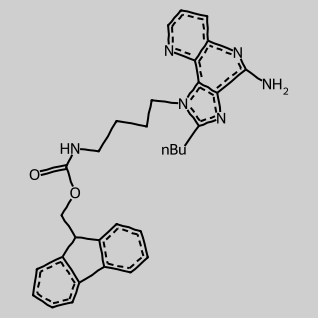 CCCCc1nc2c(N)nc3cccnc3c2n1CCCCNC(=O)OCC1c2ccccc2-c2ccccc21